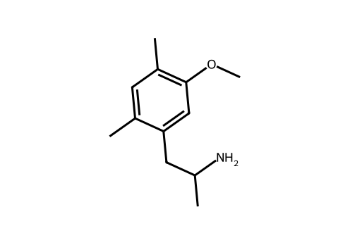 COc1cc(CC(C)N)c(C)cc1C